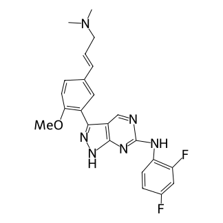 COc1ccc(/C=C/CN(C)C)cc1-c1n[nH]c2nc(Nc3ccc(F)cc3F)ncc12